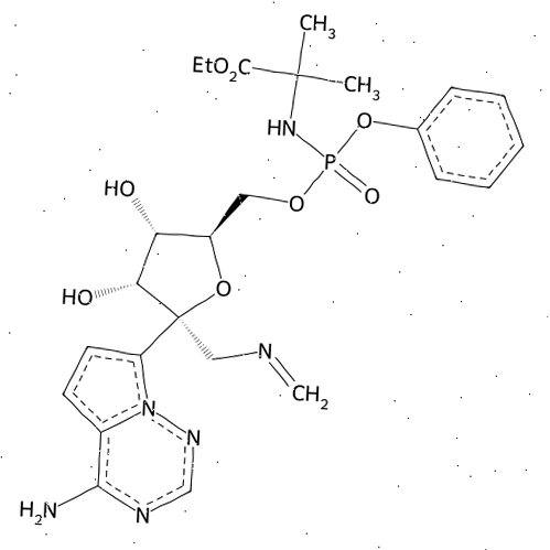 C=NC[C@@]1(c2ccc3c(N)ncnn23)O[C@H](COP(=O)(NC(C)(C)C(=O)OCC)Oc2ccccc2)[C@@H](O)[C@H]1O